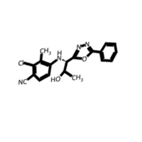 Cc1c(N[C@H](c2nnc(-c3ccccc3)o2)C(C)O)ccc(C#N)c1Cl